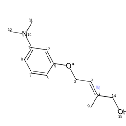 C/C(=C\COc1cccc(N(C)C)c1)CO